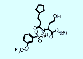 CC(C)(C)OC(=O)[C@H](CCO)N(NS(=O)(=O)c1cccc(OC(F)(F)F)c1)C(=O)CCC1CCCC1